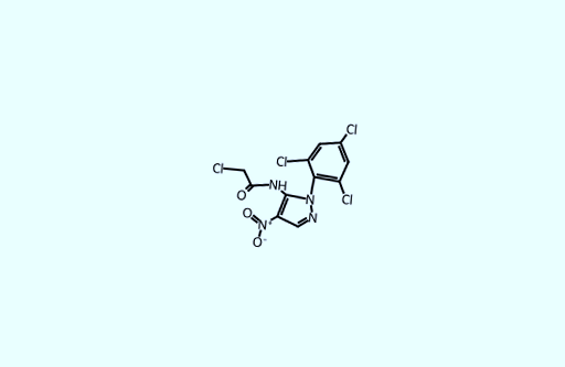 O=C(CCl)Nc1c([N+](=O)[O-])cnn1-c1c(Cl)cc(Cl)cc1Cl